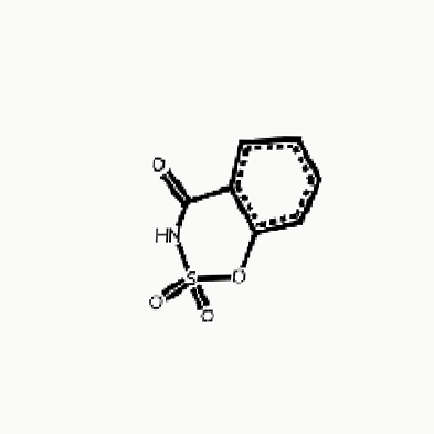 O=C1NS(=O)(=O)Oc2ccccc21